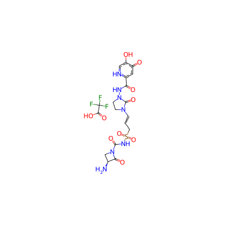 N[C@H]1CN(C(=O)NS(=O)(=O)CC=CN2CCN(NC(=O)c3cc(=O)c(O)c[nH]3)C2=O)C1=O.O=C(O)C(F)(F)F